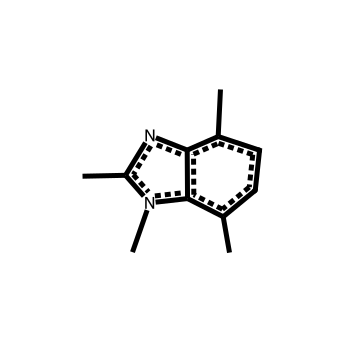 Cc1ccc(C)c2c1nc(C)n2C